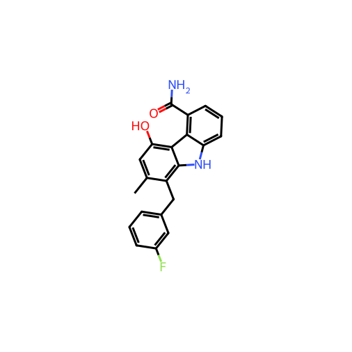 Cc1cc(O)c2c([nH]c3cccc(C(N)=O)c32)c1Cc1cccc(F)c1